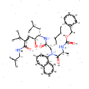 CCCC[C@@H](C(=O)N[C@@H](CC(C)C)[C@@H](O)/C=C(\C(=O)NCC(C)C)C(C)C)N(C(=O)[C@H](C)NC(=O)OCc1ccccc1)c1cccc2ccccc12